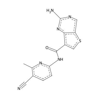 Cc1nc(NC(=O)c2csc3cnc(N)nc23)ccc1C#N